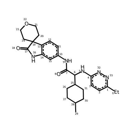 CCc1ccc(NC(C(=O)Nc2ccc3c(c2)NC(=O)C32CCOCC2)C2CCC(C)CC2)nn1